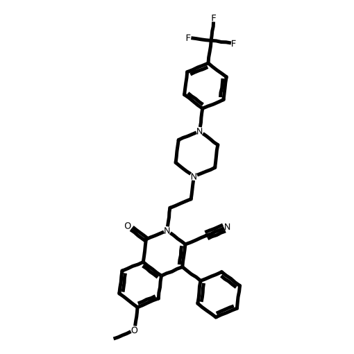 COc1ccc2c(=O)n(CCN3CCN(c4ccc(C(F)(F)F)cc4)CC3)c(C#N)c(-c3ccccc3)c2c1